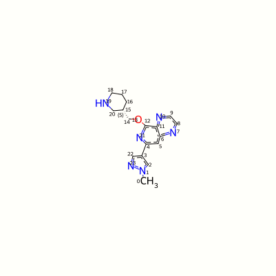 Cn1cc(-c2cc3nccnc3c(OC[C@H]3CCCNC3)n2)cn1